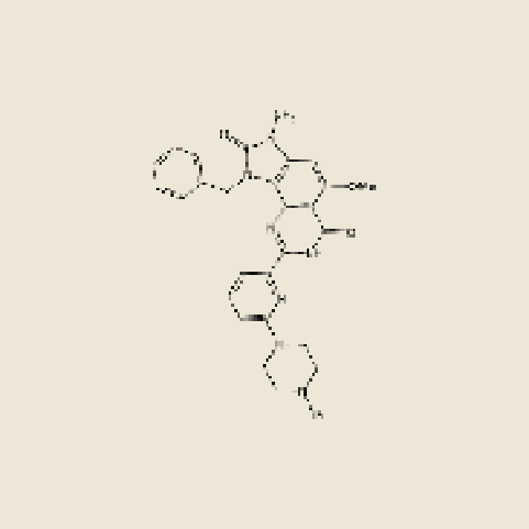 COc1cc2c(c3nc(-c4cccc(N5CCN(C(C)C)CC5)n4)[nH]c(=O)c13)n(Cc1ccccc1)c(=O)n2C